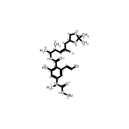 CC/C=C/c1cc(N(C)C(=O)OC(C)(C)C)cc(O)c1C(=O)OC(C)[C@H](C)/C=C(/F)CC1COC(C)(C)O1